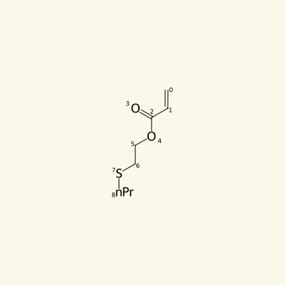 C=CC(=O)OCCSCCC